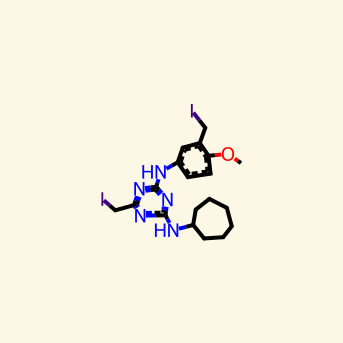 COc1ccc(Nc2nc(CI)nc(NC3CCCCCC3)n2)cc1CI